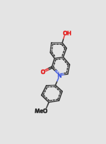 COc1ccc(-n2ccc3cc(O)ccc3c2=O)cc1